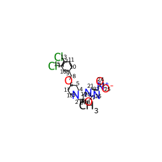 C[C@]1(CN2CCC(OCc3ccc(Cl)c(Cl)c3)CC2)Cn2cc([N+](=O)[O-])nc2O1